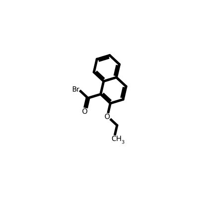 CCOc1ccc2ccccc2c1C(=O)Br